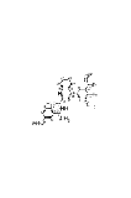 COc1cccc([C@@H](C)NC(C)c2cc(-c3cc(C)c(F)c(C(=O)OC(C)C)c3)c3ccccc3n2)c1